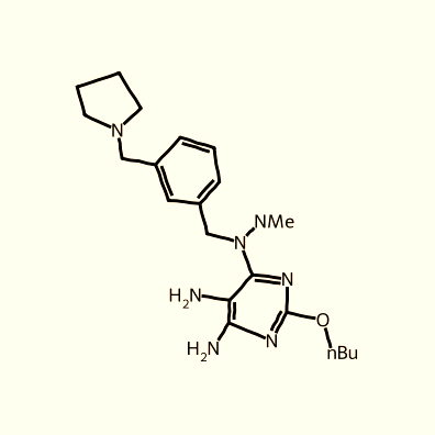 CCCCOc1nc(N)c(N)c(N(Cc2cccc(CN3CCCC3)c2)NC)n1